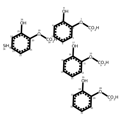 O=C(O)Oc1ccccc1O.O=C(O)Oc1ccccc1O.O=C(O)Oc1ccccc1O.O=C(O)Oc1ccccc1O.[SiH4]